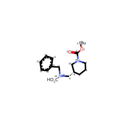 CC(C)(C)OC(=O)N1CCC[C@H](CN(Cc2ccccc2)C(=O)O)C1